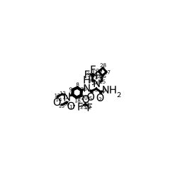 NC(=O)[C@@H](C(=O)Nc1ccc(N2CCOCC2=O)cc1OC(F)F)N(CC1CCC1)CC(F)(F)F